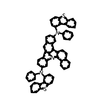 c1ccc(N(c2ccc3cc4c5ccc(N(c6ccccc6)c6cccc7sc8ccccc8c67)cc5n5c6c7ccccc7ccc6c(c3c2)c45)c2cccc3sc4ccccc4c23)cc1